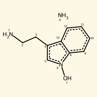 N.NCCc1cn(O)c2ccccc12